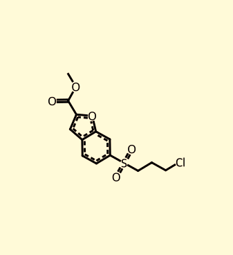 COC(=O)c1cc2ccc(S(=O)(=O)CCCCl)cc2o1